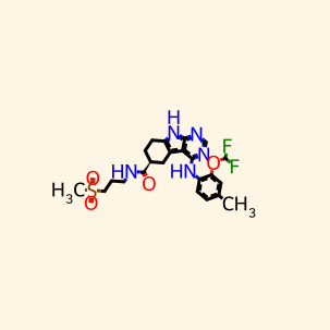 Cc1ccc(Nc2ncnc3[nH]c4c(c23)C[C@@H](C(=O)NCCCS(C)(=O)=O)CC4)c(OC(F)F)c1